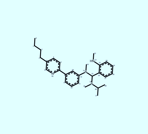 CCCCc1ccc(-c2cccc(N(C)C(c3ccccc3NC)N(C)C(C)C)c2)nc1